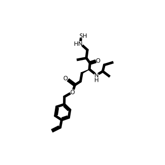 C=Cc1ccc(COC(=O)CC[C@H](NC(C)CC)C(=O)C(C)CNS)cc1